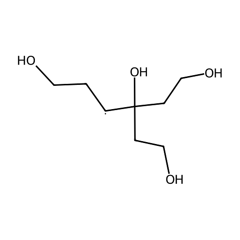 OCC[CH]C(O)(CCO)CCO